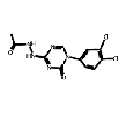 CC(=O)NNc1ncn(-c2ccc(Cl)c(Cl)c2)c(=O)n1